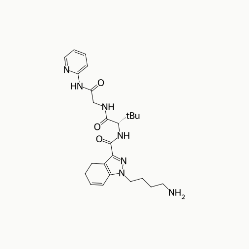 CC(C)(C)[C@H](NC(=O)c1nn(CCCCN)c2c1CCC=C2)C(=O)NCC(=O)Nc1ccccn1